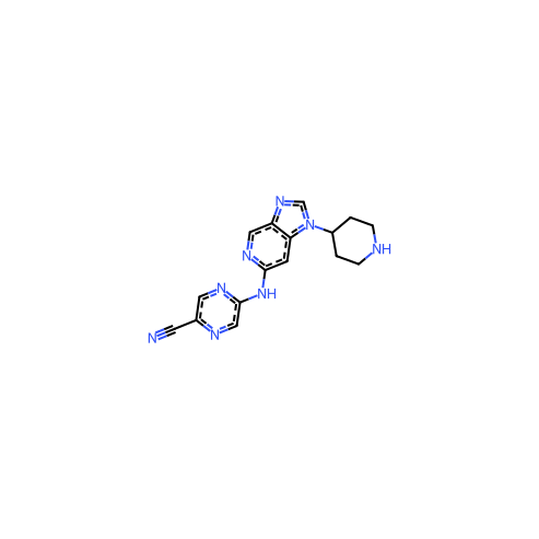 N#Cc1cnc(Nc2cc3c(cn2)ncn3C2CCNCC2)cn1